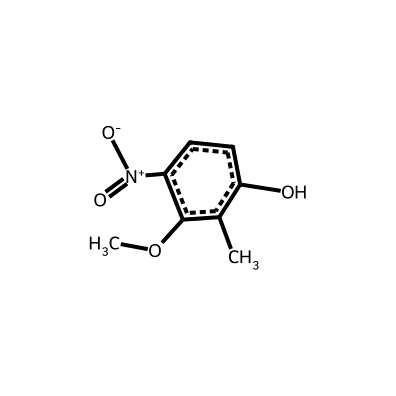 COc1c([N+](=O)[O-])ccc(O)c1C